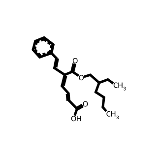 CCCCC(CC)COC(=O)C(C=Cc1ccccc1)=CC=CC(=O)O